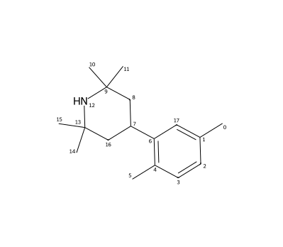 Cc1ccc(C)c(C2CC(C)(C)NC(C)(C)C2)c1